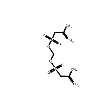 C=C(C)CS(=O)(=O)OCOS(=O)(=O)CC(=C)C